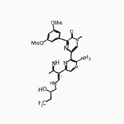 COc1cc(OC)cc(-c2nc(-c3nc(/C(=C/NCC(O)CC(F)(F)F)C(C)=N)cnc3N)cn(C)c2=O)c1